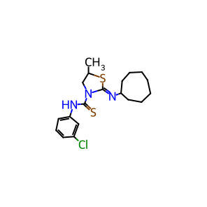 CC1CN(C(=S)Nc2cccc(Cl)c2)C(=NC2CCCCCCC2)S1